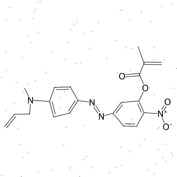 C=CCN(C)c1ccc(N=Nc2ccc([N+](=O)[O-])c(OC(=O)C(=C)C)c2)cc1